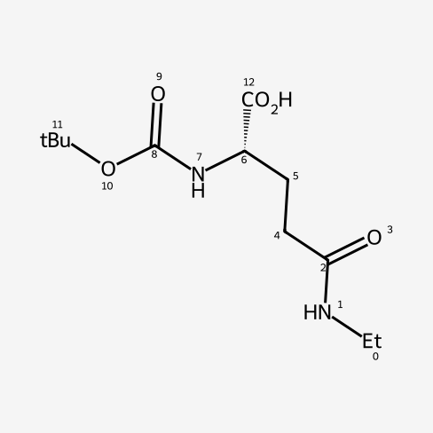 CCNC(=O)CC[C@H](NC(=O)OC(C)(C)C)C(=O)O